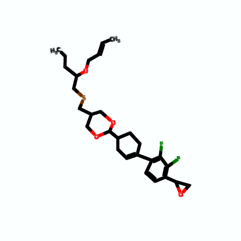 C/C=C/COC(CCC)CSCC1COC(C2CC=C(c3ccc(C4CO4)c(F)c3F)CC2)OC1